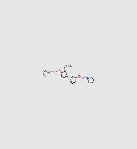 CCc1cc(-c2cccc(OCCN3CCCC3)c2)ccc1OCCN1CCCC1